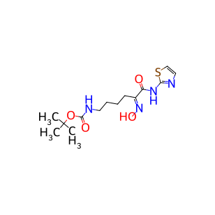 CC(C)(C)OC(=O)NCCCCC(=NO)C(=O)Nc1nccs1